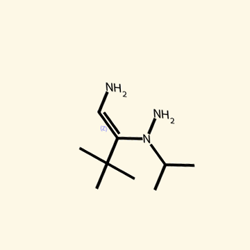 CC(C)N(N)/C(=C\N)C(C)(C)C